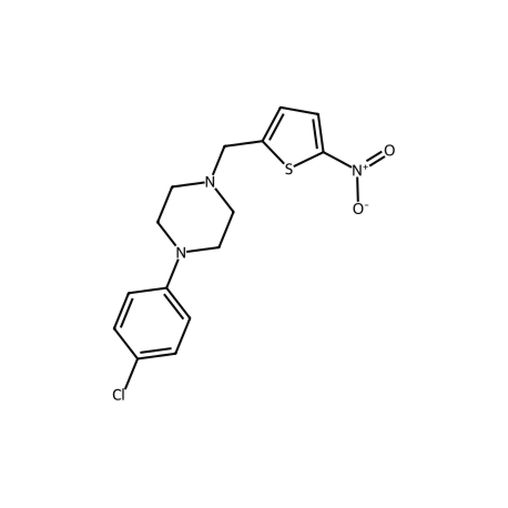 O=[N+]([O-])c1ccc(CN2CCN(c3ccc(Cl)cc3)CC2)s1